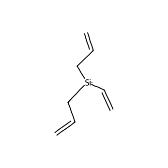 C=CC[Si](C=C)CC=C